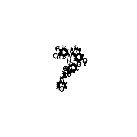 COc1cc2ncnc(Nc3ccc(F)c(Cl)c3)c2cc1OC1CCN(S(=O)(=O)CCCN2CCOCC2)CC1